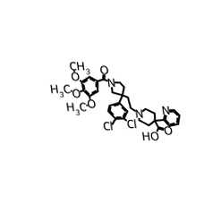 COc1cc(C(=O)N2CCC(CCN3CCC(C(=O)O)(c4ccccn4)CC3)(c3ccc(Cl)c(Cl)c3)C2)cc(OC)c1OC